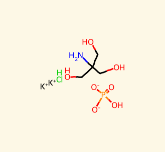 Cl.NC(CO)(CO)CO.O=P([O-])([O-])O.[K+].[K+]